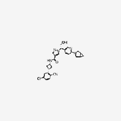 N#Cc1ccc(Cl)cc1[C@H]1C[C@@H](NC(=O)c2cnn([C@H](CO)c3ccc(N4CC5CC5C4)nc3)c2)C1